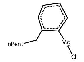 CCCCCCc1cccc[c]1[Mg][Cl]